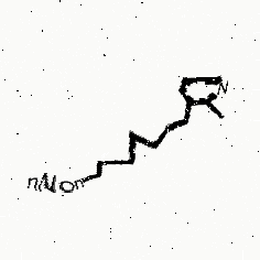 CCCCCCCCCCCCCCCCc1cccnc1C